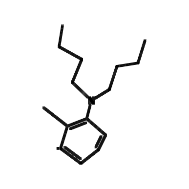 CCCCN(CCCC)c1ccc[c]c1C